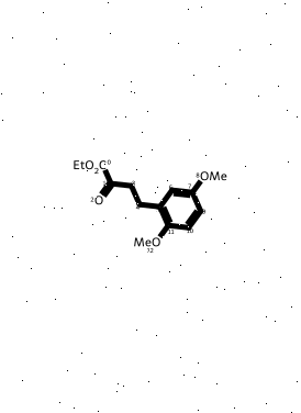 CCOC(=O)C(=O)CCc1cc(OC)ccc1OC